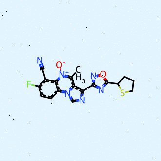 Cc1c2c(-c3noc(C4CCCS4)n3)ncn2c2ccc(F)c(C#N)c2[n+]1[O-]